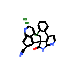 Cl.Cl.N#Cc1cccc(C2(Cc3ccncc3)C(=O)Nc3nccc(-c4ccccc4Cl)c32)c1